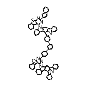 c1cc(-c2ccc(-c3nc(-n4c5ccccc5c5c6c7ccccc7n7c8ccccc8c(cc54)c67)c4c(n3)oc3ccccc34)cc2)cc(-c2ccc3c4c5c6ccccc6n(-c6nc(-c7ccc8ccccc8c7)nc7sc8ccccc8c67)c5cc5c6ccccc6n(c3c2)c54)c1